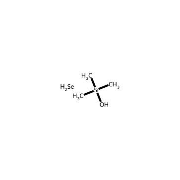 C[Si](C)(C)O.[SeH2]